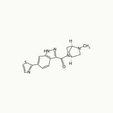 CN1C[C@@H]2C[C@H]1CN2C(=O)c1n[nH]c2cc(-c3nccs3)ccc12